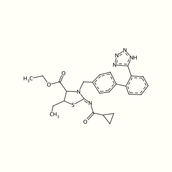 CCOC(=O)C1C(CC)SC(=NC(=O)C2CC2)N1Cc1ccc(-c2ccccc2-c2nnn[nH]2)cc1